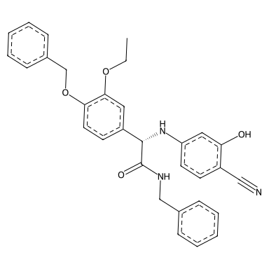 CCOc1cc([C@H](Nc2ccc(C#N)c(O)c2)C(=O)NCc2ccccc2)ccc1OCc1ccccc1